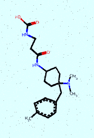 Cc1ccc(CC2(N(C)C)CCC(NC(=O)CCNC(=O)O)CC2)cc1